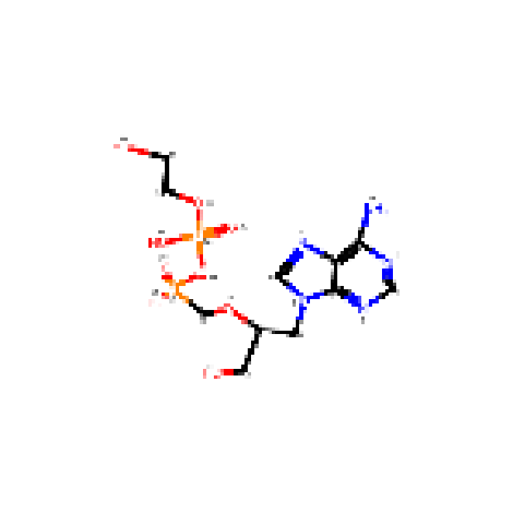 Nc1ncnc2c1ncn2C[C@@H](CO)OCP(=O)(O)OP(=O)(O)OCCO